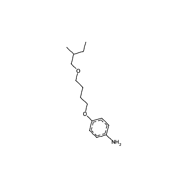 CCC(C)COCCCCOc1ccc(N)cc1